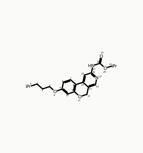 CC(C)CCCOc1ccc2c(c1)OCc1cnc(NC(=O)OC(C)C)cc1-2